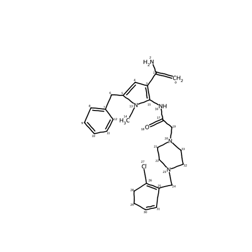 C=C(N)c1cc(Cc2ccccc2)n(C)c1NC(=O)CN1CCN(CC2=C(Cl)CCC=C2)CC1